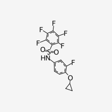 O=S(=O)(Nc1ccc(OC2CC2)c(F)c1)c1c(F)c(F)c(F)c(F)c1F